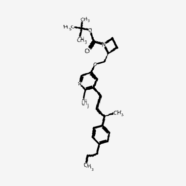 CCCc1ccc([C@H](C)CCc2cc(OC[C@@H]3CCN3C(=O)OC(C)(C)C)cnc2C)cc1